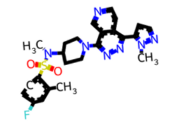 Cc1cc(F)ccc1S(=O)(=O)N(C)C1CCN(c2nnc(-c3ccnn3C)c3ccncc23)CC1